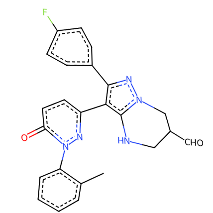 Cc1ccccc1-n1nc(-c2c(-c3ccc(F)cc3)nn3c2NCC(C=O)C3)ccc1=O